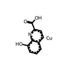 O=C(O)c1ccc2cccc(O)c2n1.[Cu]